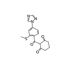 CSc1cc(-n2cncn2)ccc1C(=O)C1C(=O)CCCC1=O